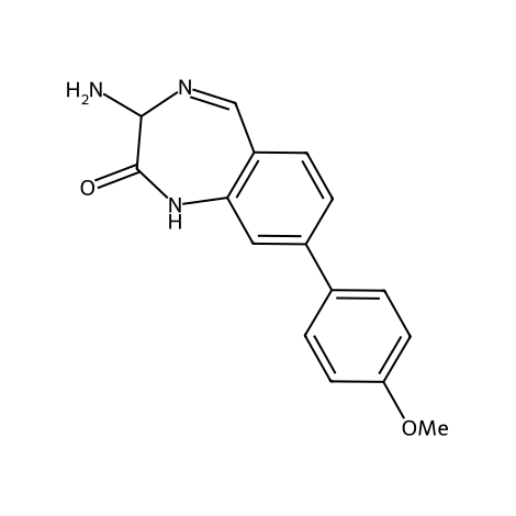 COc1ccc(-c2ccc3c(c2)NC(=O)C(N)N=C3)cc1